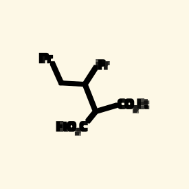 CCOC(=O)C(C(=O)OCC)C(CC(C)C)C(C)C